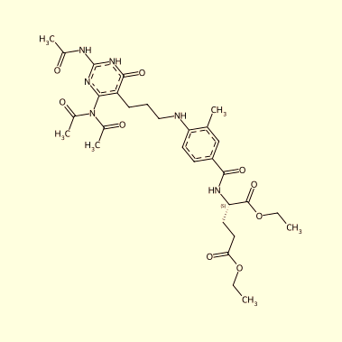 CCOC(=O)CC[C@H](NC(=O)c1ccc(NCCCc2c(N(C(C)=O)C(C)=O)nc(NC(C)=O)[nH]c2=O)c(C)c1)C(=O)OCC